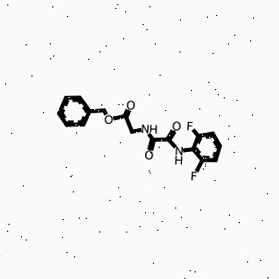 O=C(CNC(=O)C(=O)Nc1c(F)cccc1F)OCc1ccccc1